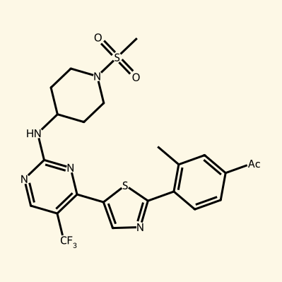 CC(=O)c1ccc(-c2ncc(-c3nc(NC4CCN(S(C)(=O)=O)CC4)ncc3C(F)(F)F)s2)c(C)c1